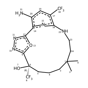 CC1(C)CCC[C@](O)(C(F)(F)F)c2nnc(o2)-c2nc(c(C(F)(F)F)cc2N)NCC1